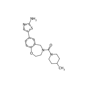 CC1CCN(C(=O)N2CCOc3ccc(-c4cnc(N)s4)cc3C2)CC1